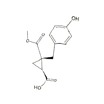 COC(=O)[C@@]1(Cc2ccc(O)cc2)C[C@@H]1C(=O)O